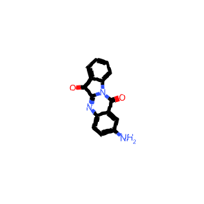 Nc1ccc2nc3n(c(=O)c2c1)-c1ccccc1C3=O